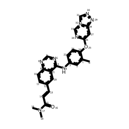 Cc1cc(Nc2ncnc3ccc(C=CC(=O)N(C)C)cc23)ccc1Oc1cc2nncn2cn1